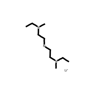 CCN(C)CC[N-]CCN(C)CC.[Li+]